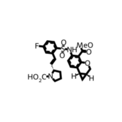 COC(=O)c1c(NS(=O)(=O)c2ccc(F)cc2C=C[C@@H]2CCCN2C(=O)O)ccc2c1OC[C@@H]1C[C@H]21